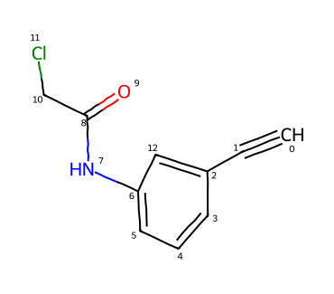 C#Cc1cccc(NC(=O)CCl)c1